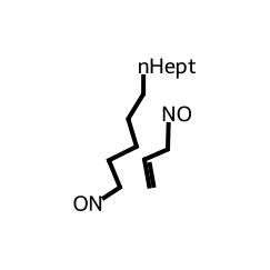 C=CCN=O.CCCCCCCCCCCCN=O